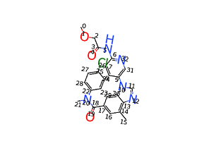 COCC(=O)Nc1ccc(-n2cnc3c(C)cc(C(=O)N(C)c4ccc(Cl)cc4)cc32)cn1